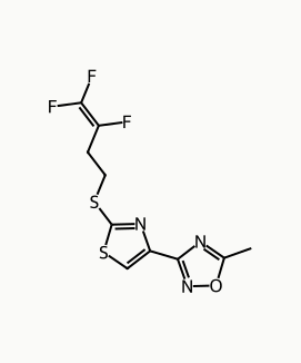 Cc1nc(-c2csc(SCCC(F)=C(F)F)n2)no1